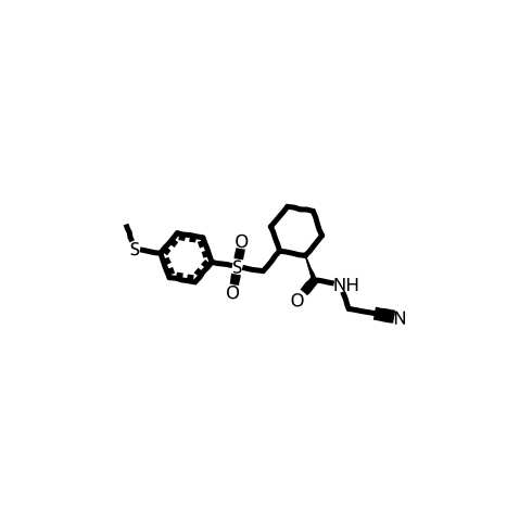 CSc1ccc(S(=O)(=O)CC2CCCC[C@H]2C(=O)NCC#N)cc1